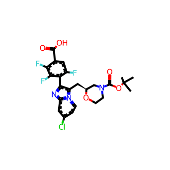 CC(C)(C)OC(=O)N1CCO[C@@H](Cc2c(-c3c(F)cc(C(=O)O)c(F)c3F)nc3cc(Cl)ccn23)C1